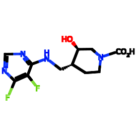 O=C(O)N1CC[C@H](CNc2ncnc(F)c2F)[C@@H](O)C1